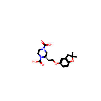 CC1(C)Cc2cc(OCC[C@@H]3CN(C(=O)O)CCN3C(=O)O)ccc2O1